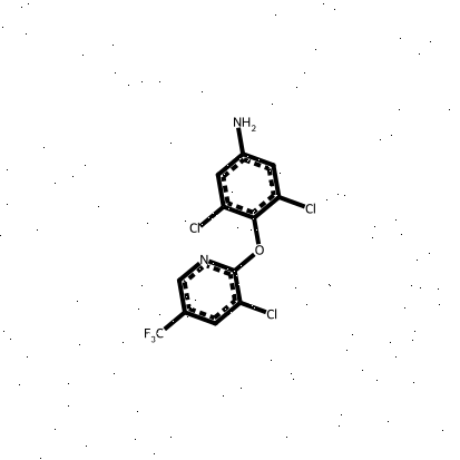 Nc1cc(Cl)c(Oc2ncc(C(F)(F)F)cc2Cl)c(Cl)c1